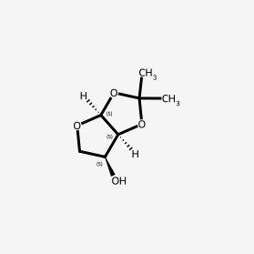 CC1(C)O[C@@H]2OC[C@H](O)[C@@H]2O1